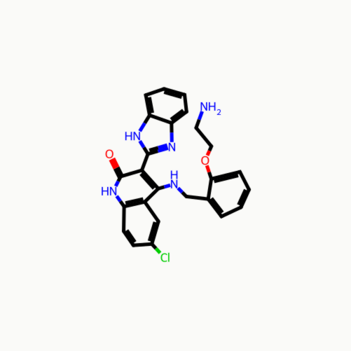 NCCOc1ccccc1CNc1c(-c2nc3ccccc3[nH]2)c(=O)[nH]c2ccc(Cl)cc12